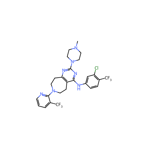 CN1CCN(c2nc3c(c(Nc4ccc(C(F)(F)F)c(Cl)c4)n2)CCN(c2ncccc2C(F)(F)F)CC3)CC1